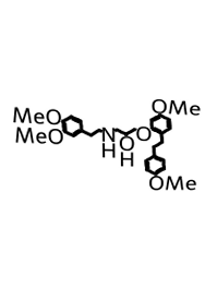 COc1ccc(CCc2ccc(OC)cc2OCC(O)CNCCc2ccc(OC)c(OC)c2)cc1